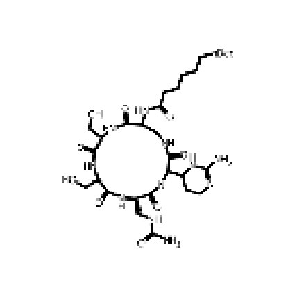 CCCCCCCCCCCCCCCC(=O)NC1CNC(=O)C(C2CCN=C(N)N2)NC(=O)/C(=C\NC(N)=O)NC(=O)C(CO)NC(=O)C(CO)NC1=O